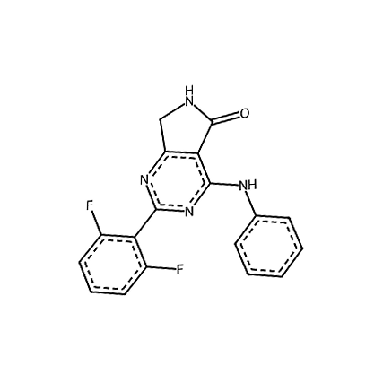 O=C1NCc2nc(-c3c(F)cccc3F)nc(Nc3ccccc3)c21